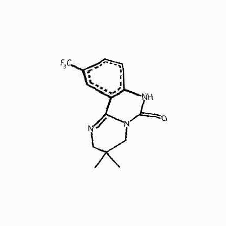 CC1(C)CN=C2c3cc(C(F)(F)F)ccc3NC(=O)N2C1